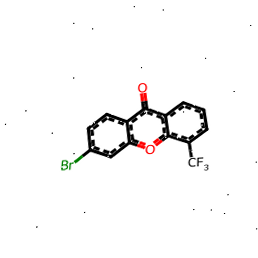 O=c1c2ccc(Br)cc2oc2c(C(F)(F)F)cccc12